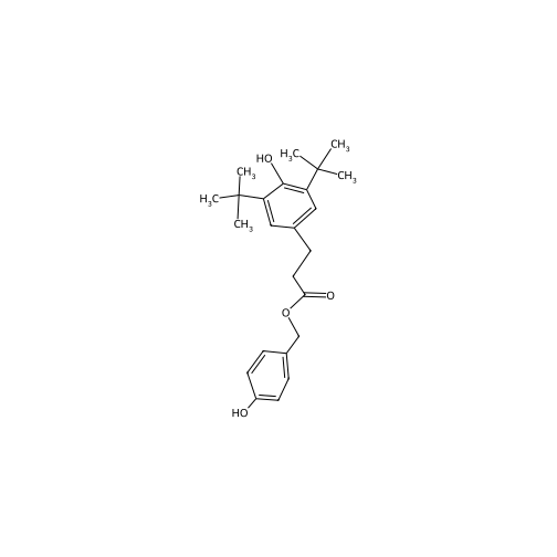 CC(C)(C)c1cc(CCC(=O)OCc2ccc(O)cc2)cc(C(C)(C)C)c1O